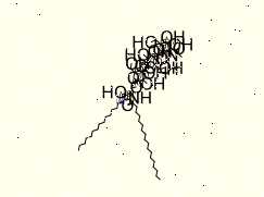 CCCCCCCCCCCCC/C=C/[C@@H](O)[C@H](CO[C@@H]1OC(CO)[C@@H](O[C@@H]2OC(CO)[C@@H](O[C@@H]3OC(CO)[C@@H](O)[C@H](O)C3NC(C)=O)[C@H](O)C2O)[C@H](O)C1O)NC(=O)CCCCCCCCCCCCCCCCC